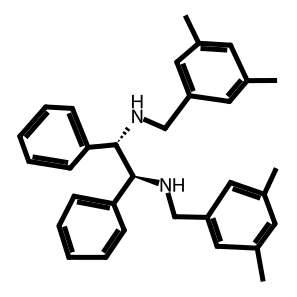 Cc1cc(C)cc(CN[C@@H](c2ccccc2)[C@@H](NCc2cc(C)cc(C)c2)c2ccccc2)c1